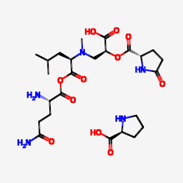 CC(C)C[C@H](C(=O)OC(=O)[C@@H](N)CCC(N)=O)N(C)C[C@H](OC(=O)[C@@H]1CCC(=O)N1)C(=O)O.O=C(O)[C@@H]1CCCN1